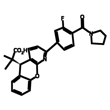 CC(C)(C(=O)O)[C@H]1c2ccccc2Oc2nc(-c3ccc(C(=O)N4CCCC4)c(F)c3)ccc21